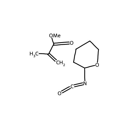 C=C(C)C(=O)OC.O=C=NC1CCCCO1